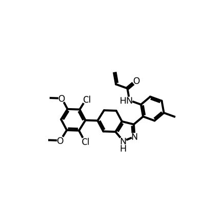 C=CC(=O)Nc1ccc(C)cc1-c1n[nH]c2c1CCC(c1c(Cl)c(OC)cc(OC)c1Cl)=C2